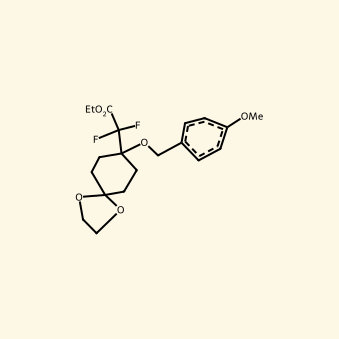 CCOC(=O)C(F)(F)C1(OCc2ccc(OC)cc2)CCC2(CC1)OCCO2